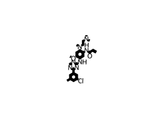 C=CC(=O)Nc1cc(Nc2ncnc(-c3cc(C)cc(Cl)c3)n2)c(OC)cc1N(C)CCN(C)C